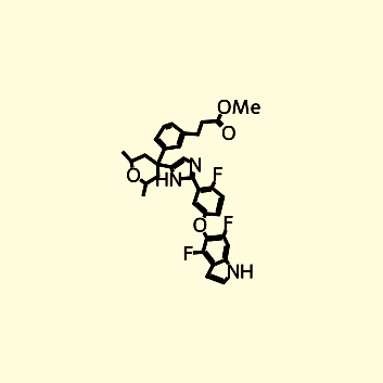 COC(=O)CCc1cccc(C2(c3cnc(-c4cc(Oc5c(F)cc6[nH]ccc6c5F)ccc4F)[nH]3)CC(C)OC(C)C2)c1